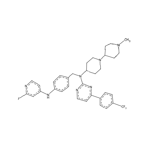 CN1CCC(N2CCC(N(Cc3ccc(Nc4ccnc(F)c4)cc3)c3nccc(-c4ccc(C(F)(F)F)cc4)n3)CC2)CC1